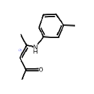 CC(=O)/C=C(/C)Nc1cccc(C)c1